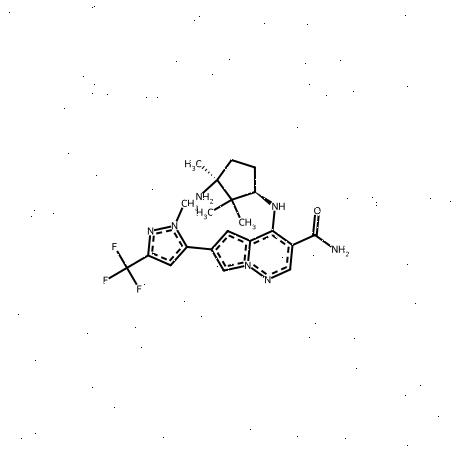 Cn1nc(C(F)(F)F)cc1-c1cc2c(N[C@@H]3CC[C@](C)(N)C3(C)C)c(C(N)=O)cnn2c1